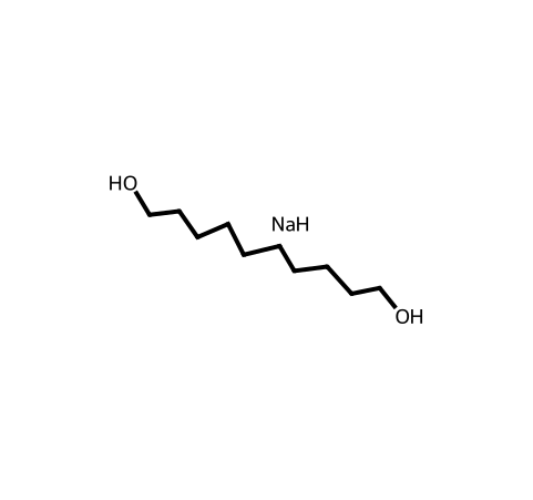 OCCCCCCCCCCO.[NaH]